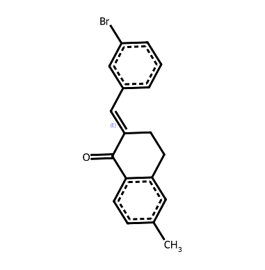 Cc1ccc2c(c1)CC/C(=C\c1cccc(Br)c1)C2=O